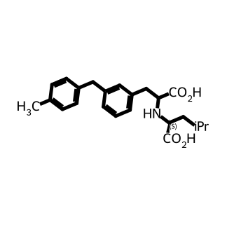 Cc1ccc(Cc2cccc(CC(N[C@@H](CC(C)C)C(=O)O)C(=O)O)c2)cc1